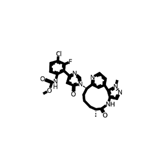 COC(=O)Nc1ccc(Cl)c(F)c1-c1cc(=O)n([C@H]2CCC[C@@H](C)C(=O)Nc3cnn(C)c3-c3ccnc2c3)cn1